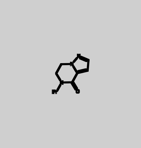 CC(C)N1CCn2nccc2C1=O